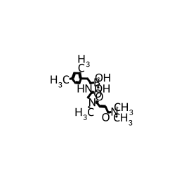 CCN(CC(=O)NC(Cc1ccc(C)cc1C)B(O)O)C(=O)/C=C/C(=O)N(C)C